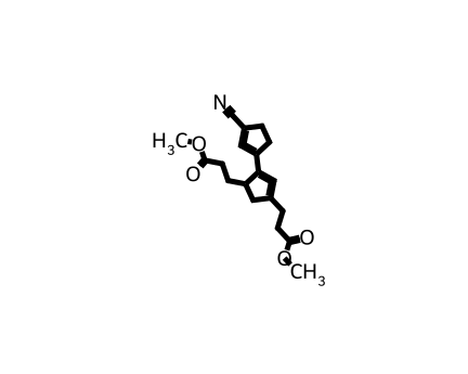 COC(=O)CCC1=C=C(C2=C=C(C#N)CC2)C(CCC(=O)OC)C1